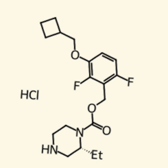 CC[C@@H]1CNCCN1C(=O)OCc1c(F)ccc(OCC2CCC2)c1F.Cl